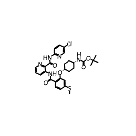 CSc1ccc(C(=O)Nc2cccnc2C(=O)Nc2ccc(Cl)cn2)c(O[C@H]2CC[C@@H](NC(=O)OC(C)(C)C)CC2)c1